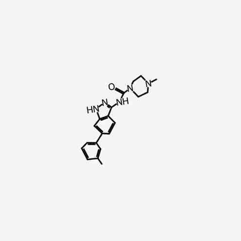 Cc1cccc(-c2ccc3c(NC(=O)N4CCN(C)CC4)n[nH]c3c2)c1